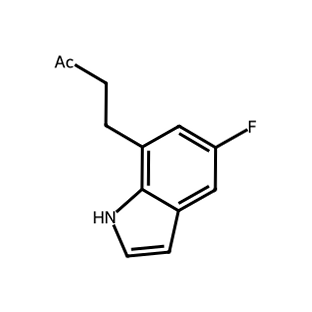 CC(=O)CCc1cc(F)cc2cc[nH]c12